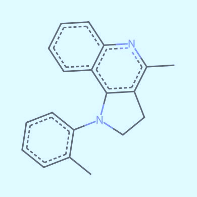 Cc1ccccc1N1CCc2c(C)nc3ccccc3c21